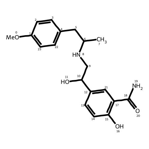 COc1ccc(CC(C)NCC(O)c2ccc(O)c(C(N)=O)c2)cc1